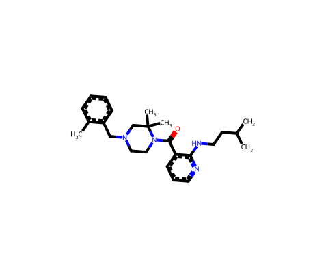 Cc1ccccc1CN1CCN(C(=O)c2cccnc2NCCC(C)C)C(C)(C)C1